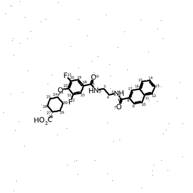 O=C(NCCNC(=O)c1ccc2ccccc2c1)c1cc(F)c(O[C@H]2CC[C@@H](C(=O)O)CC2)c(F)c1